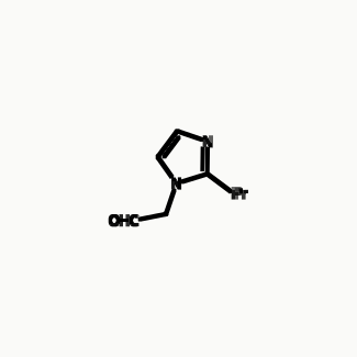 CC(C)c1nccn1CC=O